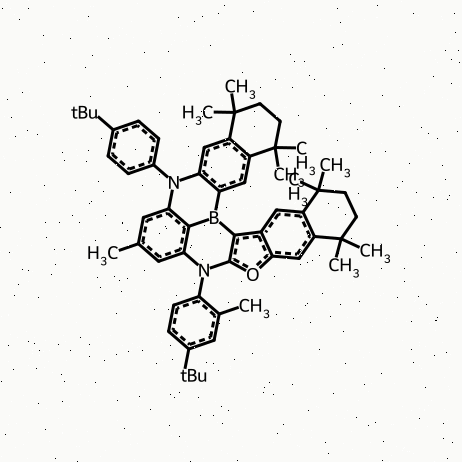 Cc1cc2c3c(c1)N(c1ccc(C(C)(C)C)cc1C)c1oc4cc5c(cc4c1B3c1cc3c(cc1N2c1ccc(C(C)(C)C)cc1)C(C)(C)CCC3(C)C)C(C)(C)CCC5(C)C